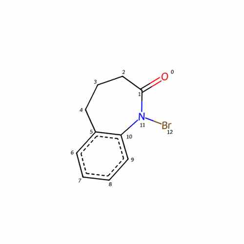 O=C1CCCc2ccccc2N1Br